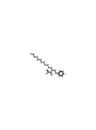 C=C(C)C(=O)N(CCCCCCCCCCCC)CCc1ccccc1